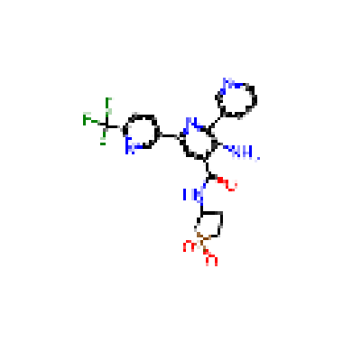 Nc1c(C(=O)NC2CCS(=O)(=O)C2)cc(-c2ccc(C(F)(F)F)nc2)nc1-c1cccnc1